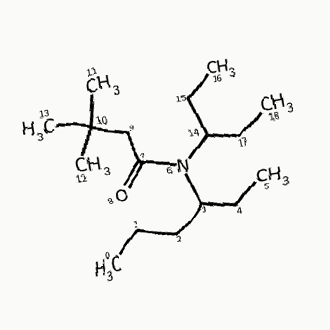 CCCC(CC)N(C(=O)CC(C)(C)C)C(CC)CC